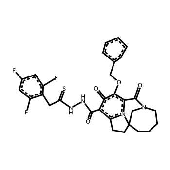 O=C(NNC(=S)Cc1c(F)cc(F)cc1F)c1c2n3c(c(OCc4ccccc4)c1=O)C(=O)N1CCCCC3(CC2)C1